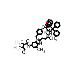 CCCCc1nc2c(n1Cc1ccc(OC(c3ccccc3)c3nnnn3C(c3ccccc3)(c3ccccc3)c3ccccc3)cc1)CC(=NC(=O)C(C)C(C)C=O)C=C2C